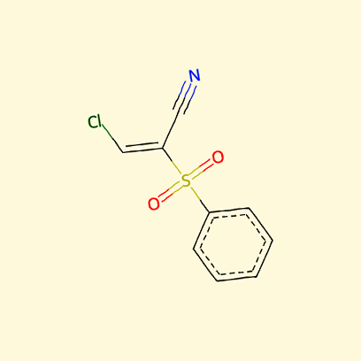 N#C/C(=C\Cl)S(=O)(=O)c1ccccc1